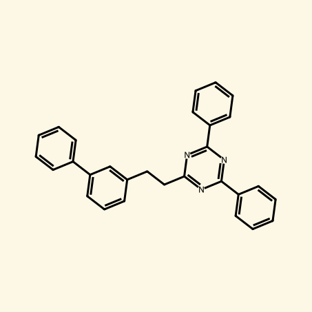 c1ccc(-c2cccc(CCc3nc(-c4ccccc4)nc(-c4ccccc4)n3)c2)cc1